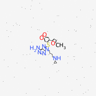 Cc1ccc(-c2cc3c(cc2Sc2nc4c(N)ncnc4n2CCCCNC2CC2)OCO3)o1